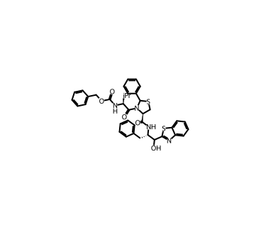 CC(C)[C@H](NC(=O)OCc1ccccc1)C(=O)N1C(c2ccccc2)SC[C@H]1C(=O)N[C@@H](Cc1ccccc1)C(O)c1nc2ccccc2s1